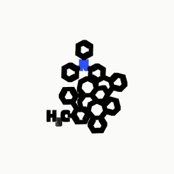 Cc1ccccc1-c1ccccc1C12CCCCC34CC(CC5(CC(CC1)c1ccccc1-c1ccccc15)C23)c1ccccc1-c1ccc(N(c2ccccc2)c2ccccc2)cc14